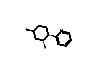 C[C@H]1CC[C@H](c2ccccn2)[C@H](C)C1